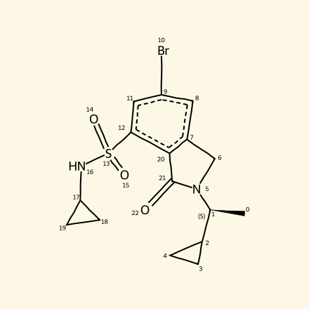 C[C@@H](C1CC1)N1Cc2cc(Br)cc(S(=O)(=O)NC3CC3)c2C1=O